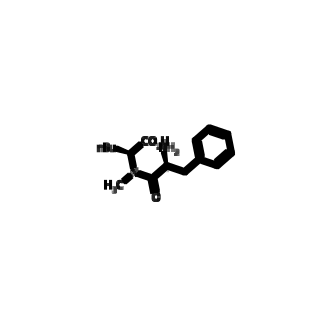 CCCC[C@@H](C(=O)O)N(C)C(=O)[C@@H](N)Cc1ccccc1